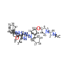 CC(=O)N1CC(N2CCC(Oc3ccc4c(c3)C3(CCCCC3)CN4c3ncc(C(=O)NC4(C(=O)O)C5CC6CC(C5)CC4C6)c(C(F)(F)F)n3)CC2)C1